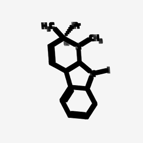 CC(C)[C@@]1(C)C=CC2C3=CC=CCC3N(I)C2N1C